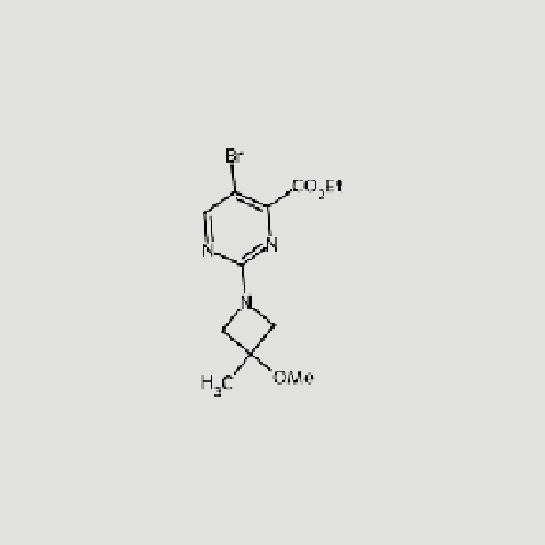 CCOC(=O)c1nc(N2CC(C)(OC)C2)ncc1Br